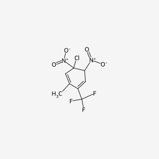 CC1=CC(Cl)([N+](=O)[O-])C([N+](=O)[O-])C=C1C(F)(F)F